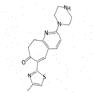 Cc1csc(C2=Cc3ccc(N4CCNCC4)nc3CCC2=O)n1